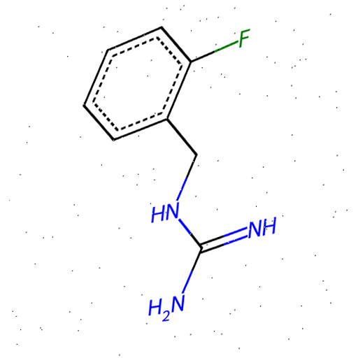 N=C(N)NCc1ccccc1F